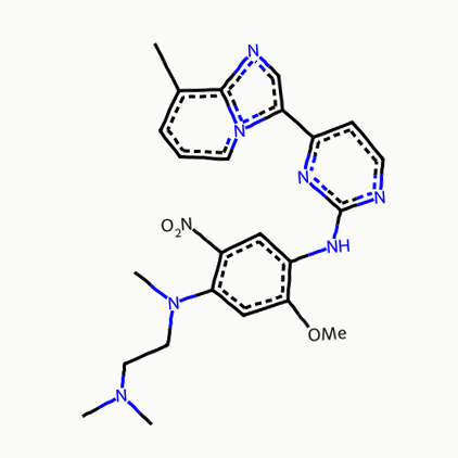 COc1cc(N(C)CCN(C)C)c([N+](=O)[O-])cc1Nc1nccc(-c2cnc3c(C)cccn23)n1